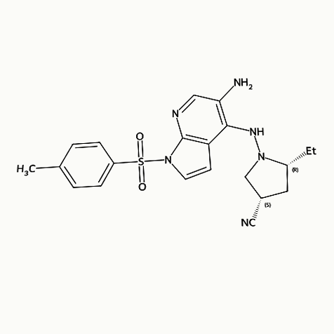 CC[C@@H]1C[C@H](C#N)CN1Nc1c(N)cnc2c1ccn2S(=O)(=O)c1ccc(C)cc1